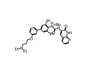 CCCCN(C(=O)Nc1c(C(C)C)cc(-c2cccc(OCCCN(CC)CC)c2)cc1C(C)C)c1cc2cccnc2[nH]c1=O